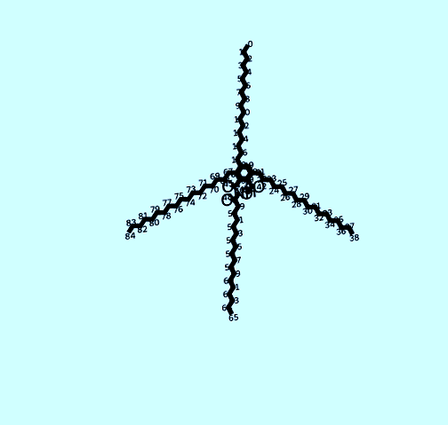 CCCCCCCCCCCCCCCCCCc1cc(CCCCCCCCCCCCCCCCCC)c(I(=O)=O)c(C(=O)NC(=O)CCCCCCCCCCCCCCCCC)c1CCCCCCCCCCCCCCCCCC